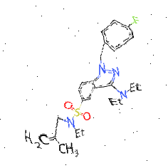 C=C(C)CN(CC)S(=O)(=O)c1ccc2c(c1)c(N(CC)CC)nn2Cc1ccc(F)cc1